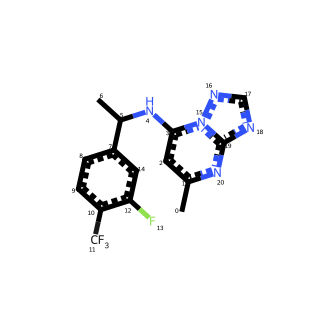 Cc1cc(NC(C)c2ccc(C(F)(F)F)c(F)c2)n2ncnc2n1